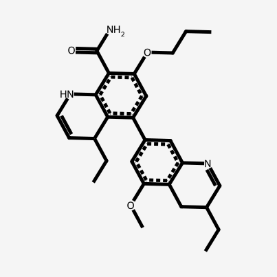 CCCOc1cc(-c2cc3c(c(OC)c2)CC(CC)C=N3)c2c(c1C(N)=O)NC=CC2CC